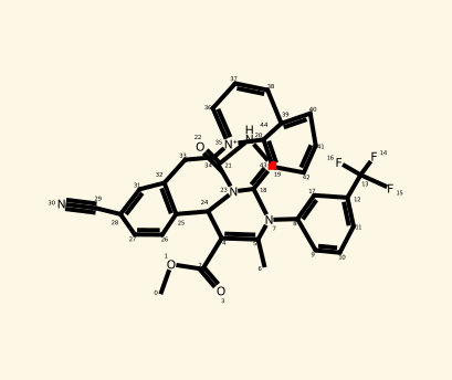 COC(=O)C1=C(C)N(c2cccc(C(F)(F)F)c2)c2n[nH]c(=O)n2C1c1ccc(C#N)cc1CC[n+]1cccc2ccccc21